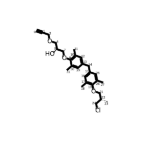 C#CCOC[C@@H](O)COc1c(C)cc(Cc2cc(C)c(OC[C@H](C)CCl)c(C)c2)cc1C